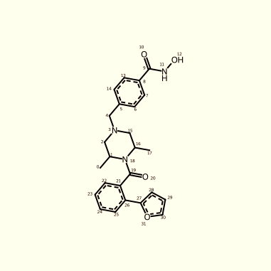 CC1CN(Cc2ccc(C(=O)NO)cc2)CC(C)N1C(=O)c1ccccc1-c1ccco1